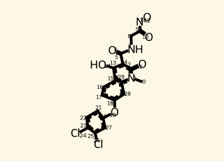 Cn1c(=O)c(C(=O)NCC(=O)N=O)c(O)c2ccc(Oc3ccc(Cl)c(Cl)c3)cc21